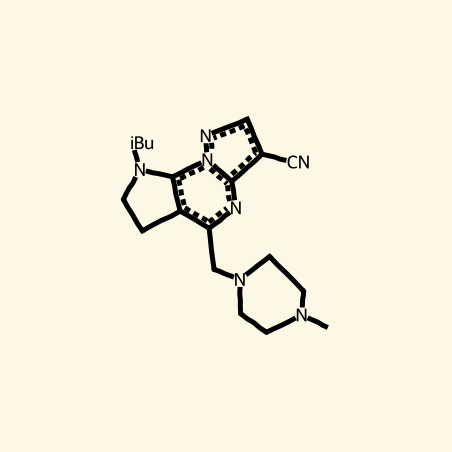 CCC(C)N1CCc2c(CN3CCN(C)CC3)nc3c(C#N)cnn3c21